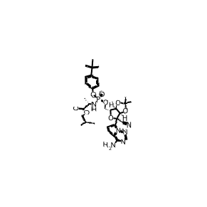 CC(C)COC(=O)[C@H](C)NP(=O)(OC[C@H]1O[C@@](C#N)(c2ccc3c(N)ncnn23)[C@@H]2OC(C)(C)O[C@@H]21)Oc1ccc(C(C)(C)C)cc1